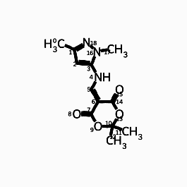 Cc1cc(NC=C2C(=O)OC(C)(C)OC2=O)n(C)n1